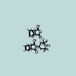 CC1(C)CC(N2C(=O)C3C4C=CC(C4)C3C2=O)CC(C)(C)N1.O=C1OC(=O)C2C3C=CC(C3)C12